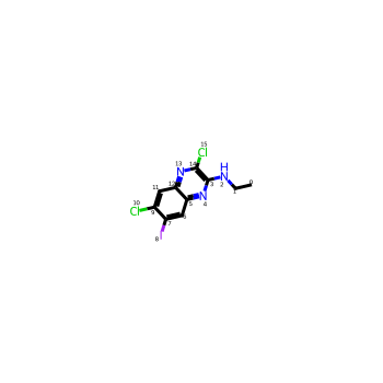 CCNc1nc2cc(I)c(Cl)cc2nc1Cl